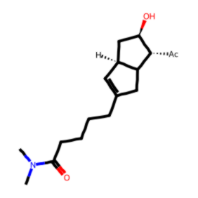 CC(=O)[C@@H]1C2CC(CCCCC(=O)N(C)C)=C[C@H]2C[C@H]1O